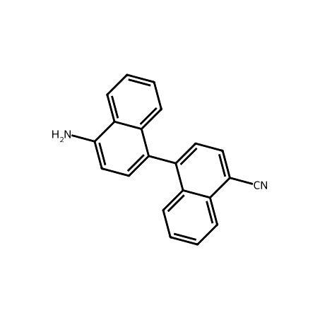 N#Cc1ccc(-c2ccc(N)c3ccccc23)c2ccccc12